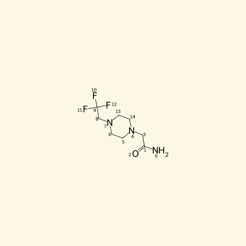 NC(=O)CN1CCN(CC(F)(F)F)CC1